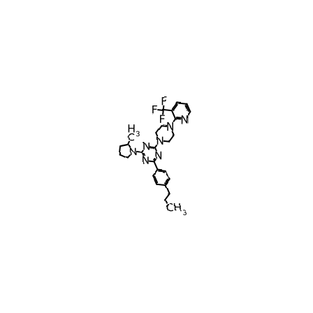 CCCc1ccc(-c2nc(N3CCN(c4ncccc4C(F)(F)F)CC3)nc(N3CCCC3C)n2)cc1